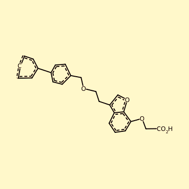 O=C(O)COc1cccc2c(CCOCc3ccc(-c4ccccc4)cc3)coc12